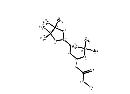 CC(C)(C)OC(=O)C[C@H](CCB1OC(C)(C)C(C)(C)O1)O[Si](C)(C)C(C)(C)C